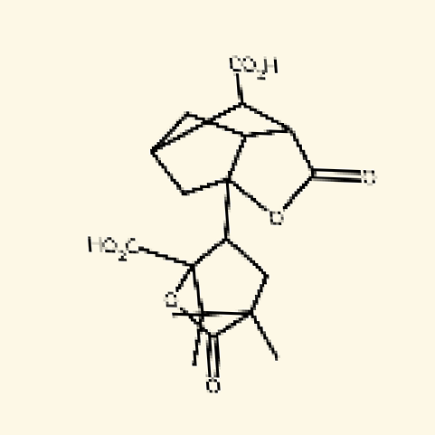 CC12CC(C34CC5CC3C(C(=O)O4)C5C(=O)O)C(C(=O)O)(OC1=O)C2(C)C